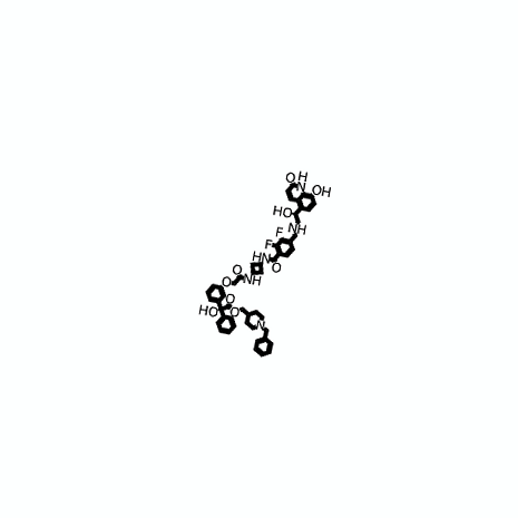 O=C(COc1cccc([C@](O)(C(=O)OCC2CCN(Cc3ccccc3)CC2)c2ccccc2)c1)N[C@H]1C[C@H](NC(=O)c2ccc(CNC[C@H](O)c3ccc(O)c4[nH]c(=O)ccc34)c(F)c2F)C1